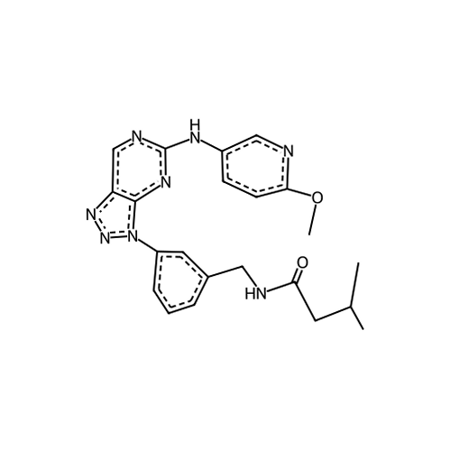 COc1ccc(Nc2ncc3nnn(-c4cccc(CNC(=O)CC(C)C)c4)c3n2)cn1